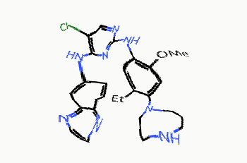 CCc1cc(Nc2ncc(Cl)c(Nc3ccc4nccnc4c3)n2)c(OC)cc1N1CCNCC1